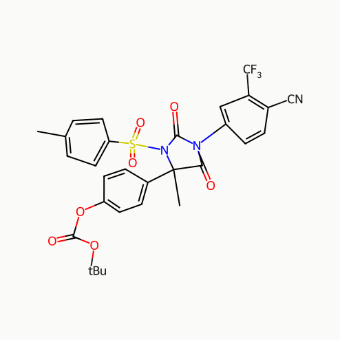 Cc1ccc(S(=O)(=O)N2C(=O)N(c3ccc(C#N)c(C(F)(F)F)c3)C(=O)C2(C)c2ccc(OC(=O)OC(C)(C)C)cc2)cc1